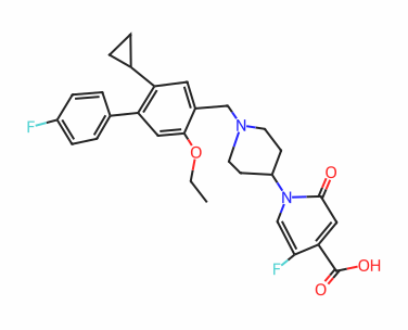 CCOc1cc(-c2ccc(F)cc2)c(C2CC2)cc1CN1CCC(n2cc(F)c(C(=O)O)cc2=O)CC1